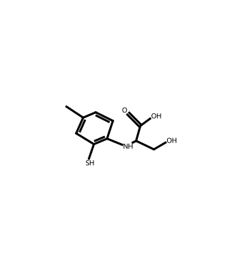 Cc1ccc(NC(CO)C(=O)O)c(S)c1